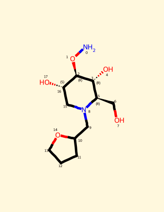 NO[C@H]1[C@H](O)[C@@H](CO)N(CC2CCCO2)C[C@@H]1O